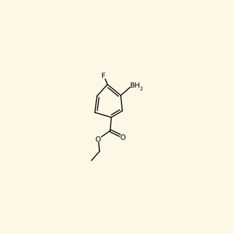 Bc1cc(C(=O)OCC)ccc1F